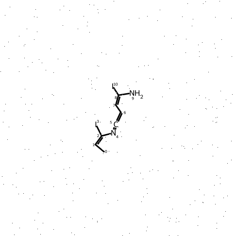 C/C=C(/I)N=C=C/C=C(\N)I